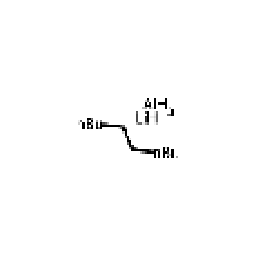 CCCCCCCCCC.[AlH3].[LiH]